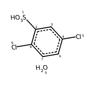 O.O=S(=O)(O)c1cc(Cl)ccc1Cl